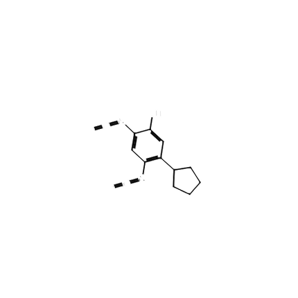 Cc1cc(C2CCCC2)c(N=C=O)cc1N=C=O